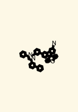 N#Cc1ccc2c(c1)-c1cc(-c3cccc(-c4nc(-c5ccccc5)cc(-c5cccc(-c6ccccc6)c5)n4)c3)ccc1C21c2ccccc2Oc2ccccc21